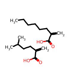 C=C(CCC(C)C)C(=O)O.C=C(CCCCCC)C(=O)O